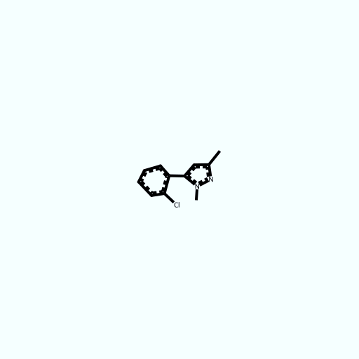 Cc1cc(-c2ccccc2Cl)n(C)n1